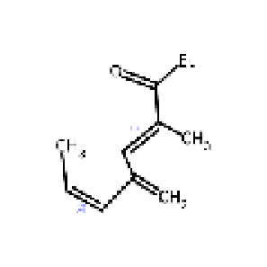 C=C(/C=C\C)/C=C(\C)C(=O)CC